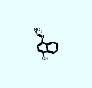 O=[N+]([O-])N=Nc1ccc(O)c2ccccc12